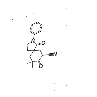 CC1(C)CC2(CCN(c3ccccc3)C2=O)CC(C#N)C1=O